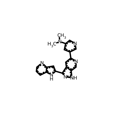 CN(C)c1cncc(-c2cc3c(-c4cc5ncccc5[nH]4)n[nH]c3cn2)c1